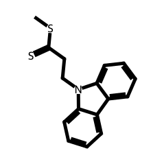 CSC(=S)CCn1c2ccccc2c2ccccc21